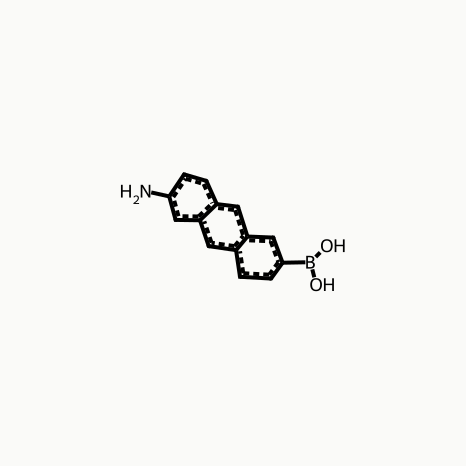 Nc1ccc2cc3cc(B(O)O)ccc3cc2c1